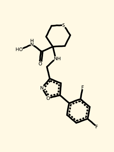 O=C(NO)C1(NCc2cc(-c3ccc(F)cc3F)on2)CCSCC1